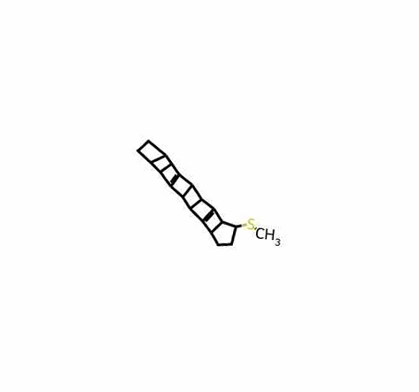 CSC1CCC2C3=C(C12)C1C3C2C3=C(C4C5CCC5C34)C12